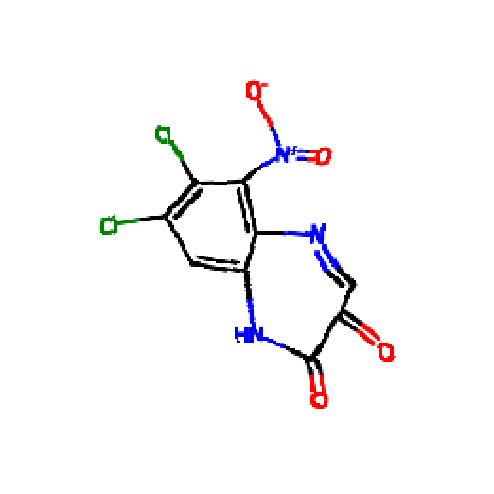 O=c1cnc2c([N+](=O)[O-])c(Cl)c(Cl)cc2[nH]c1=O